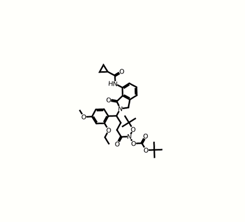 CCOc1cc(OC)ccc1C(CCC(=O)N(OC(=O)OC(C)(C)C)OC(C)(C)C)N1Cc2cccc(NC(=O)C3CC3)c2C1=O